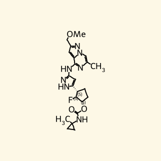 COCc1cc2c(Nc3cc([C@@H]4CC[C@H](OC(=O)NC5(C)CC5)[C@H]4F)[nH]n3)nc(C)cn2n1